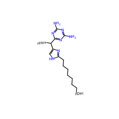 CCCCCCCCCCCCCCCCCc1nc(C(CCCCCC)c2nc(N)nc(N)n2)c[nH]1